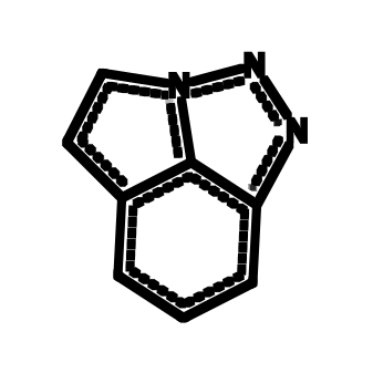 c1cc2ccn3nnc(c1)c23